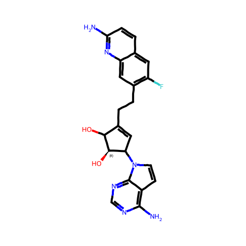 Nc1ccc2cc(F)c(CCC3=CC(n4ccc5c(N)ncnc54)[C@@H](O)C3O)cc2n1